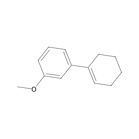 COc1cccc(C2=CCCCC2)c1